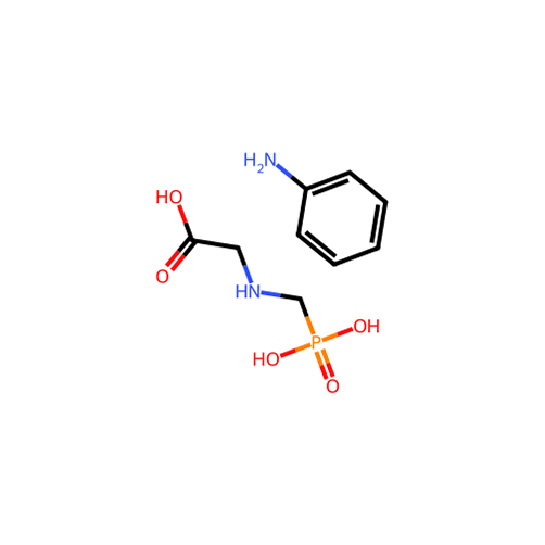 Nc1ccccc1.O=C(O)CNCP(=O)(O)O